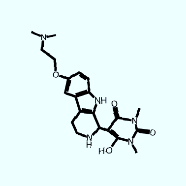 CN(C)CCOc1ccc2[nH]c3c(c2c1)CCNC3c1c(O)n(C)c(=O)n(C)c1=O